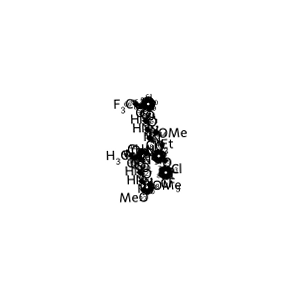 CCOc1cc(Oc2ccc(C(F)(F)F)cc2Cl)ccc1[N+](=O)[O-].COc1cc(OC)nc(NC(=O)NS(=O)(=O)c2ncccc2C(=O)N(C)C)n1.COc1nc(C)nc(NC(=O)NS(=O)(=O)c2ccccc2CCC(F)(F)F)n1